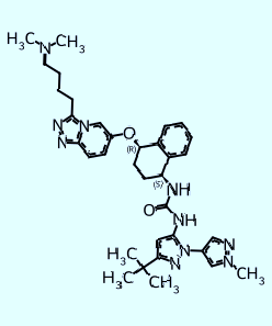 CN(C)CCCCc1nnc2ccc(O[C@@H]3CC[C@H](NC(=O)Nc4cc(C(C)(C)C)nn4-c4cnn(C)c4)c4ccccc43)cn12